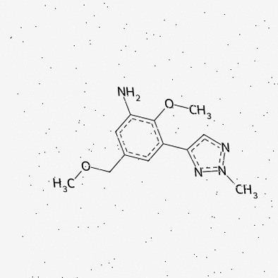 COCc1cc(N)c(OC)c(-c2cnn(C)n2)c1